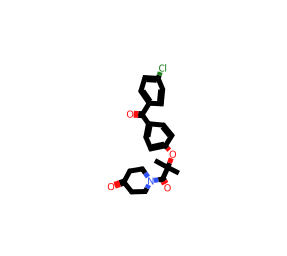 CC(C)(Oc1ccc(C(=O)c2ccc(Cl)cc2)cc1)C(=O)N1CCC(=O)CC1